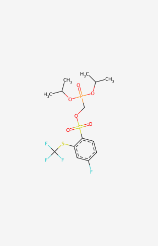 CC(C)OP(=O)(COS(=O)(=O)c1ccc(F)cc1SC(F)(F)F)OC(C)C